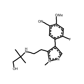 COc1cc(F)c(-c2cnn(C)c2CCNC(C)(C)CO)cc1N=O